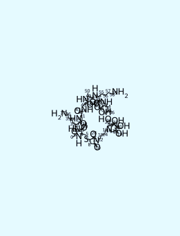 CC(=O)NC(CSC1CC(=O)N(CCCCN2C[C@H](O)[C@@H](O)[C@H](O)[C@H]2CO)C1=O)C(=O)NC(CCCCN)C(=O)NCC(=O)NCC(=O)NC(C)C(=O)NC(CCCCN)C(=O)NC(CC(C)C)C(=O)O